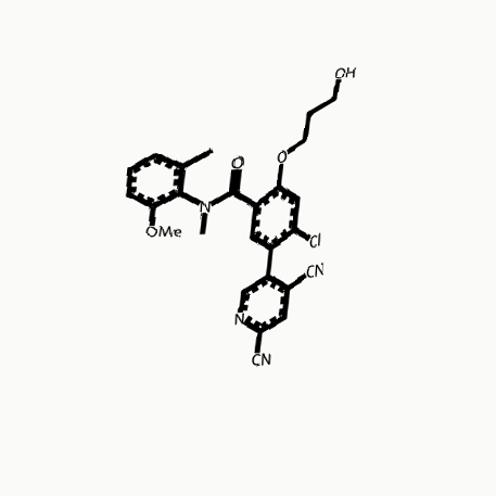 COc1cccc(C)c1N(C)C(=O)c1cc(-c2cnc(C#N)cc2C#N)c(Cl)cc1OCCCO